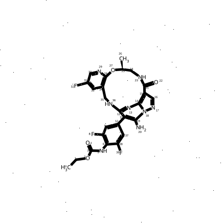 CCOC(=O)Nc1c(F)cc(-c2c3nc4c(cnn4c2N)C(=O)NC[C@H](C)Oc2ncc(F)cc2CN3)cc1F